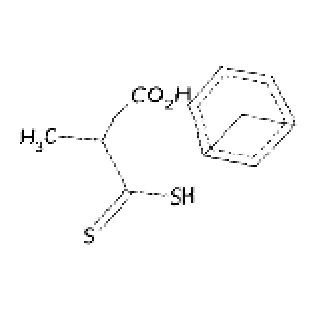 CC(C(=O)O)C(=S)S.c1cc2cc(c1)C2